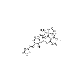 CC(=O)C(C(C)=O)=C(O)C1(N(C)CCc2ccc(OCC3CCCO3)c(F)c2F)CCCC1